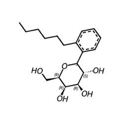 CCCCCCc1ccccc1[C]1O[C@H](CO)[C@H](O)[C@H](O)[C@H]1O